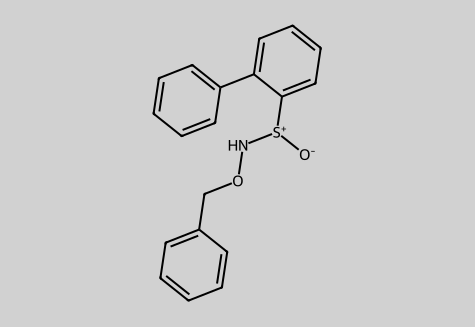 [O-][S+](NOCc1ccccc1)c1ccccc1-c1ccccc1